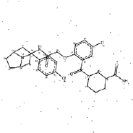 NC(=O)C1CCCN(C(=O)c2cc(Cl)ccc2OCC(=O)NC2CC3CCC(C2)N3Cc2ccc(Cl)cc2)C1